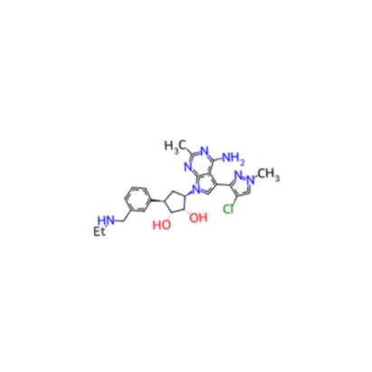 CCNCc1cccc([C@H]2C[C@@H](n3cc(-c4nn(C)cc4Cl)c4c(N)nc(C)nc43)[C@H](O)[C@@H]2O)c1